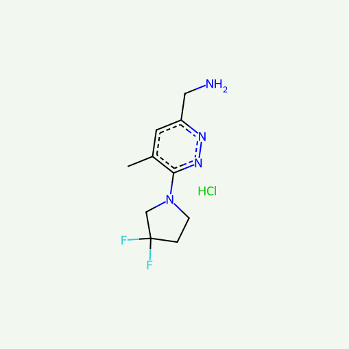 Cc1cc(CN)nnc1N1CCC(F)(F)C1.Cl